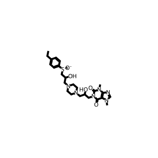 CCc1ccc([S+]([O-])CC(O)CN2CCN(CC(O)Cn3c(=O)c4c(ncn4C)n(C)c3=O)CC2)cc1